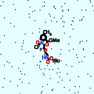 COC(=O)c1cc(C)ccc1N(CCOCCNC(=O)OC(C)(C)C)C(=O)C(F)(F)F